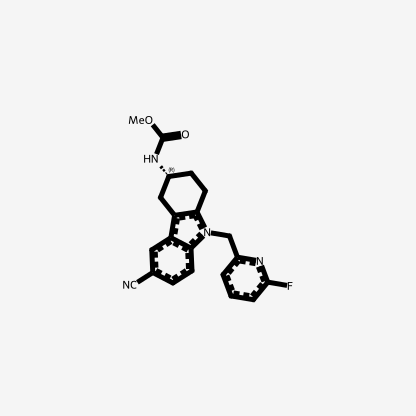 COC(=O)N[C@@H]1CCc2c(c3cc(C#N)ccc3n2Cc2cccc(F)n2)C1